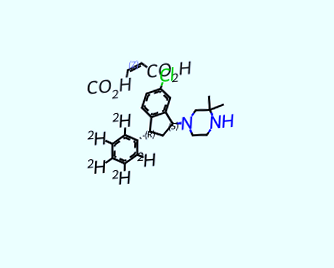 O=C(O)/C=C\C(=O)O.[2H]c1c([2H])c([2H])c([C@H]2C[C@H](N3CCNC(C)(C)C3)c3cc(Cl)ccc32)c([2H])c1[2H]